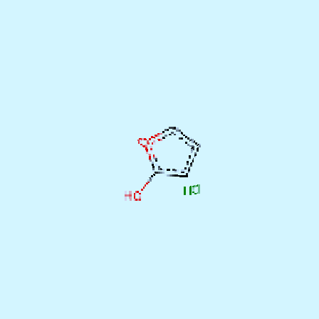 Cl.Oc1ccco1